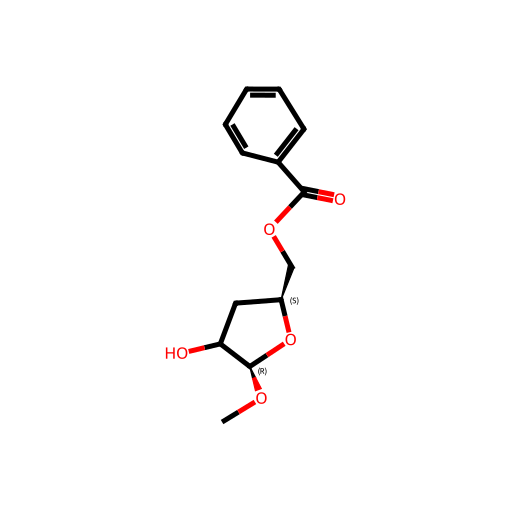 CO[C@@H]1O[C@H](COC(=O)c2ccccc2)CC1O